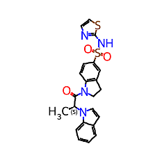 C[C@@H](C(=O)N1CCc2cc(S(=O)(=O)Nc3nccs3)ccc21)n1ccc2ccccc21